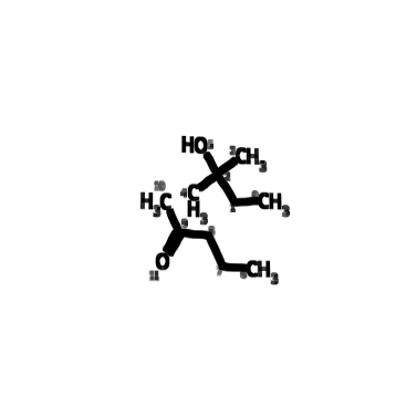 CCC(C)(C)O.CCCC(C)=O